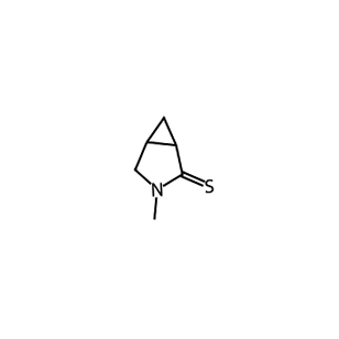 CN1CC2CC2C1=S